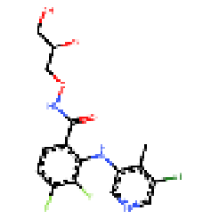 Cc1c(Cl)cncc1Nc1c(C(=O)NOC[C@H](O)CO)ccc(F)c1F